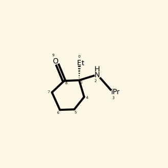 CC[C@]1(NC(C)C)CCCCC1=O